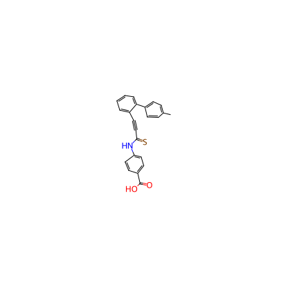 Cc1ccc(-c2ccccc2C#CC(=S)Nc2ccc(C(=O)O)cc2)cc1